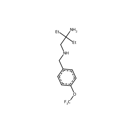 CCC(N)(CC)CNCc1ccc(OC(F)(F)F)cc1